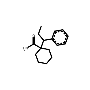 CCC(c1ccccc1)C1(C(N)=O)CCCCC1